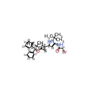 CC(C)(C)n1nc(C2CC(O[Si](c3ccccc3)(c3ccccc3)C(C)(C)C)C2)cc1NC(=O)CBr